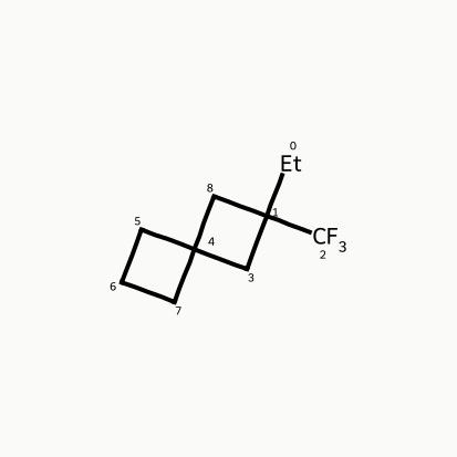 CCC1(C(F)(F)F)CC2(CCC2)C1